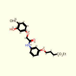 CCOC(=O)CCCOc1cccc(NC(=O)COc2ccc(C=O)c(O)c2)c1